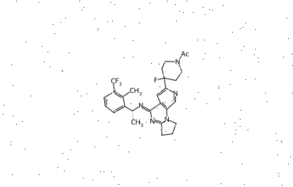 CC(=O)N1CCC(F)(c2cc3/c(=N/[C@H](C)c4cccc(C(F)(F)F)c4C)nc4n(c3cn2)CCC4)CC1